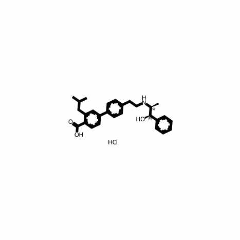 CC(C)Cc1cc(-c2ccc(CCN[C@@H](C)[C@H](O)c3ccccc3)cc2)ccc1C(=O)O.Cl